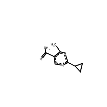 Cc1nc(C2CC2)ncc1C(N)=O